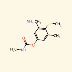 CNC(=O)Oc1cc(C)c(SC)c(C)c1.N